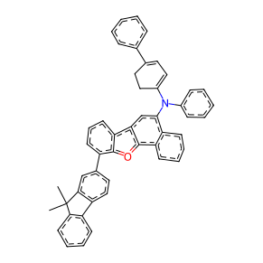 CC1(C)c2ccccc2-c2ccc(-c3cccc4c3oc3c5ccccc5c(N(C5=CC=C(c6ccccc6)CC5)c5ccccc5)cc43)cc21